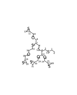 CCSCC(SCC(COCC1CS1)SCCOCC1CS1)C(OCC1CS1)OCC1CS1